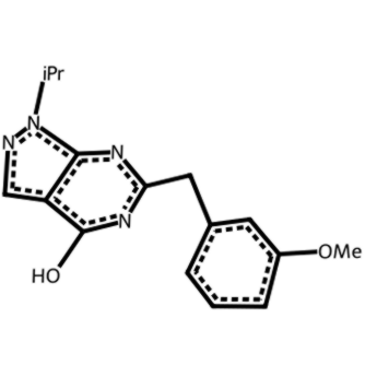 COc1cccc(Cc2nc(O)c3cnn(C(C)C)c3n2)c1